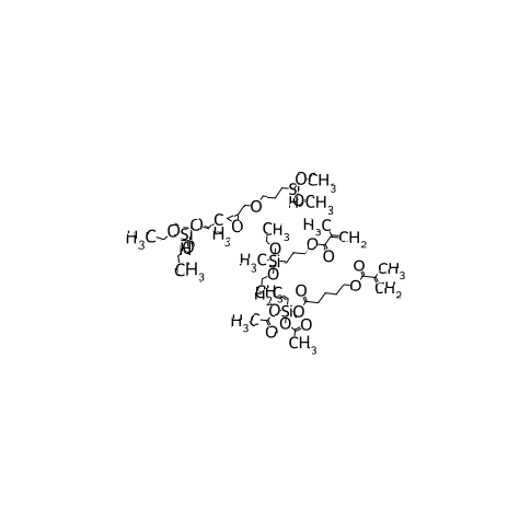 C=C(C)C(=O)OCCC[Si](C)(OCC)OCC.C=C[Si](OC(C)=O)(OC(C)=O)OC(=O)CCCCOC(=O)C(=C)C.CCO[SiH](OCC)OCC.CO[SiH](CCCOCC1CO1)OC